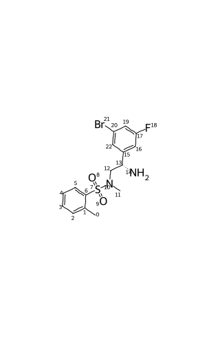 Cc1ccccc1S(=O)(=O)N(C)C[C@@H](N)c1cc(F)cc(Br)c1